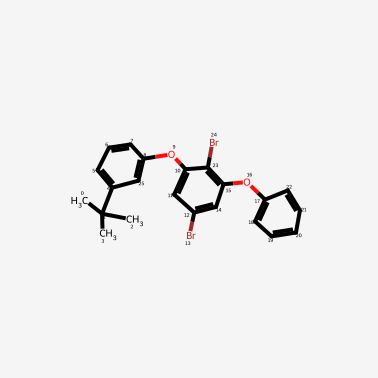 CC(C)(C)c1cccc(Oc2cc(Br)cc(Oc3ccccc3)c2Br)c1